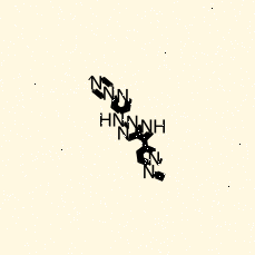 C#C/N=c1/ccc(-c2c[nH]c3nc(Nc4ccnc(N5CCN(C)CC5)c4)ncc23)cn1C